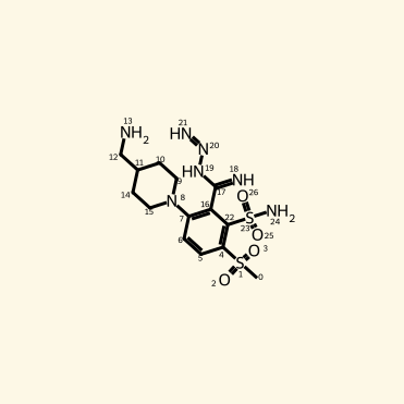 CS(=O)(=O)c1ccc(N2CCC(CN)CC2)c(C(=N)NN=N)c1S(N)(=O)=O